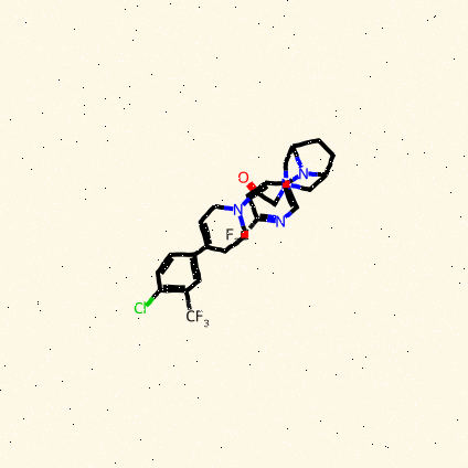 O=C(CN1CC2CCC(C1)N2c1ccc(C(F)(F)F)nc1)N1CC=C(c2ccc(Cl)c(C(F)(F)F)c2)CC1